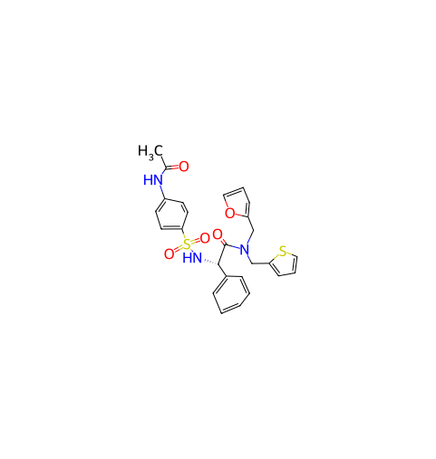 CC(=O)Nc1ccc(S(=O)(=O)N[C@H](C(=O)N(Cc2ccco2)Cc2cccs2)c2ccccc2)cc1